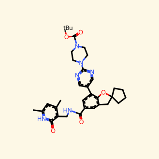 Cc1cc(C)c(CNC(=O)c2cc3c(c(-c4cnc(N5CCN(C(=O)OC(C)(C)C)CC5)nc4)c2)OC2(CCCC2)C3)c(=O)[nH]1